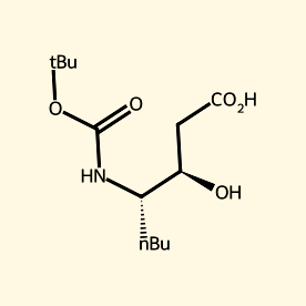 CCCC[C@H](NC(=O)OC(C)(C)C)[C@H](O)CC(=O)O